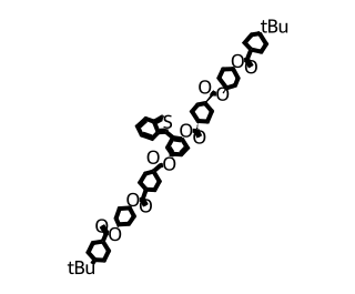 CC(C)(C)C1CCC(C(=O)O[C@H]2CC[C@H](OC(=O)C3CCC(C(=O)Oc4ccc(OC(=O)[C@H]5CC[C@H](C(=O)O[C@H]6CC[C@H](OC(=O)C7CCC(C(C)(C)C)CC7)CC6)CC5)c(-c5scc6ccccc56)c4)CC3)CC2)CC1